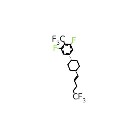 Fc1cc([C@H]2CC[C@H](C=CCCC(F)(F)F)CC2)cc(F)c1C(F)(F)F